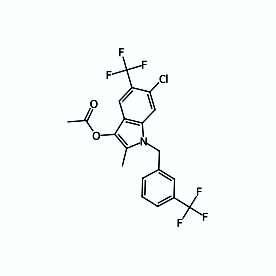 CC(=O)Oc1c(C)n(Cc2cccc(C(F)(F)F)c2)c2cc(Cl)c(C(F)(F)F)cc12